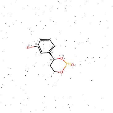 O=[PH]1OCC[C@@H](c2cccc(Br)c2)O1